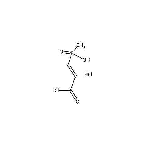 CP(=O)(O)C=CC(=O)Cl.Cl